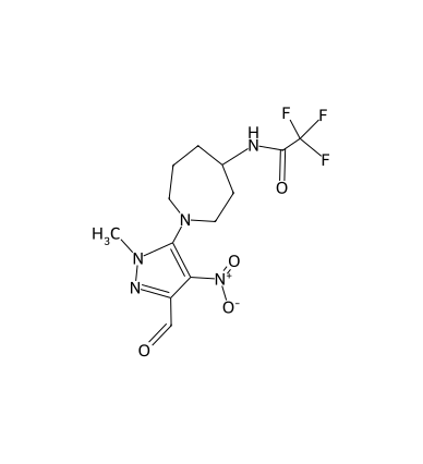 Cn1nc(C=O)c([N+](=O)[O-])c1N1CCCC(NC(=O)C(F)(F)F)CC1